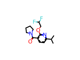 CC(C)c1ccc(C(=O)N2CCCC2)c(OCC(F)F)n1